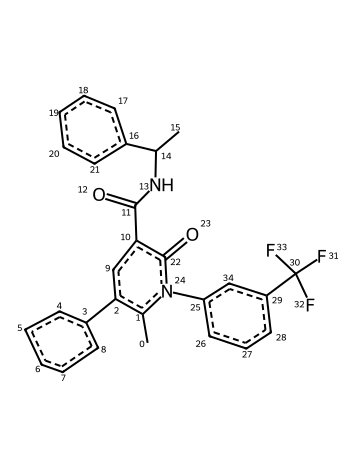 Cc1c(-c2ccccc2)cc(C(=O)NC(C)c2ccccc2)c(=O)n1-c1cccc(C(F)(F)F)c1